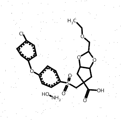 CCOCC1OC2CC(CS(=O)(=O)c3ccc(Oc4ccc(Cl)cc4)cc3)(C(=O)O)CC2O1.NO